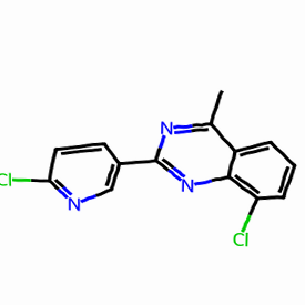 Cc1nc(-c2ccc(Cl)nc2)nc2c(Cl)cccc12